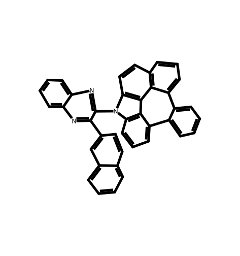 c1ccc2c(c1)-c1cccc3ccc4c(c13)c1c-2cccc1n4-c1nc2ccccc2nc1-c1ccc2ccccc2c1